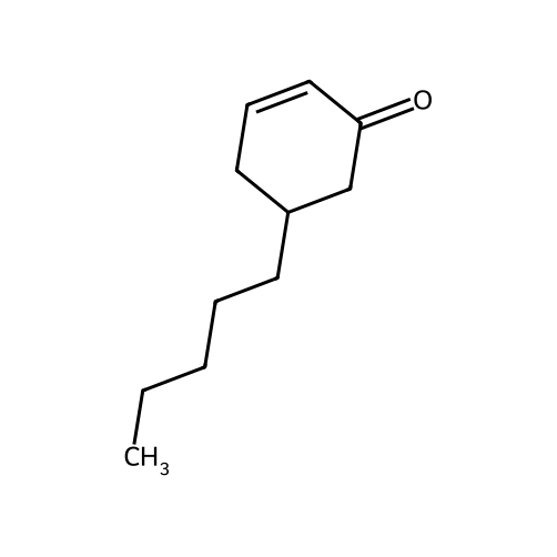 CCCCCC1CC=CC(=O)C1